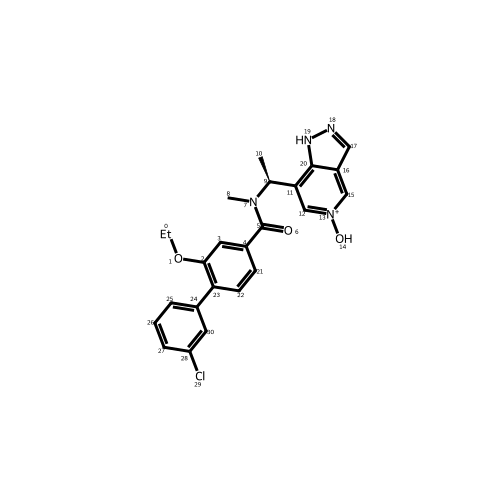 CCOc1cc(C(=O)N(C)[C@@H](C)c2c[n+](O)cc3cn[nH]c23)ccc1-c1cccc(Cl)c1